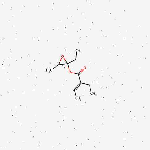 CC=C(CC)C(=O)OC1(CC)OC1C